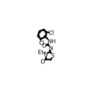 CCN1C(=O)CSC1=NC(=O)Nc1c(Cl)cccc1Cl